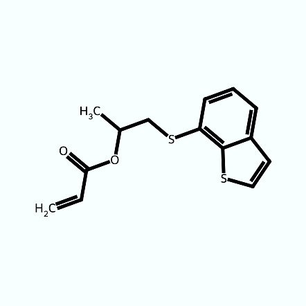 C=CC(=O)OC(C)CSc1cccc2ccsc12